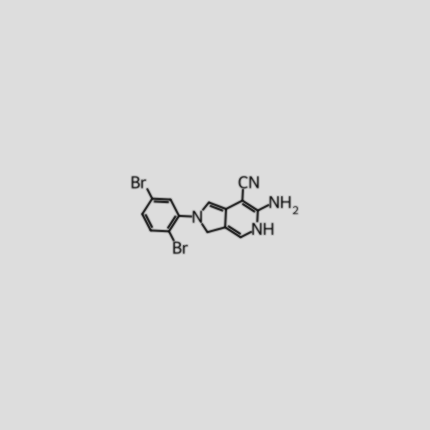 N#CC1=C(N)NC=C2CN(c3cc(Br)ccc3Br)C=C21